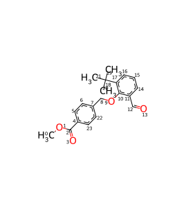 COC(=O)c1ccc(COc2c(C=O)cccc2C(C)(C)C)cc1